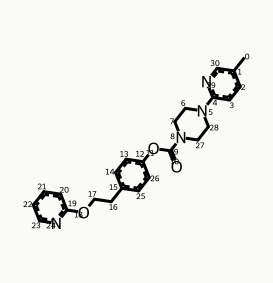 Cc1ccc(N2CCN(C(=O)Oc3ccc(CCOc4ccccn4)cc3)CC2)nc1